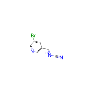 N#C/N=C/c1cncc(Br)c1